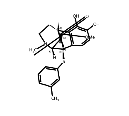 COC1=C[C@@H]2[C@@H]3[C@H](Sc4cccc(C)c4)c4ccc(O)c(O)c4[C@]2(CCN3C)CC1=O